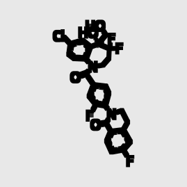 O=C1c2ccc(F)cc2CCN1c1ccc(C(=O)N2CCC(F)(F)[C@](O)(CO)c3cc(Cl)ccc32)cc1F